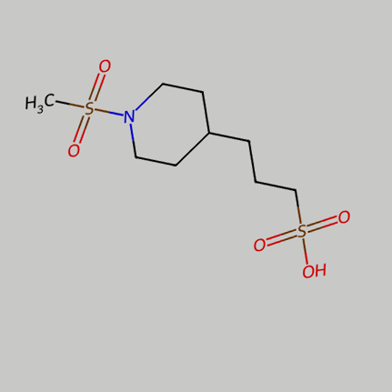 CS(=O)(=O)N1CCC(CCCS(=O)(=O)O)CC1